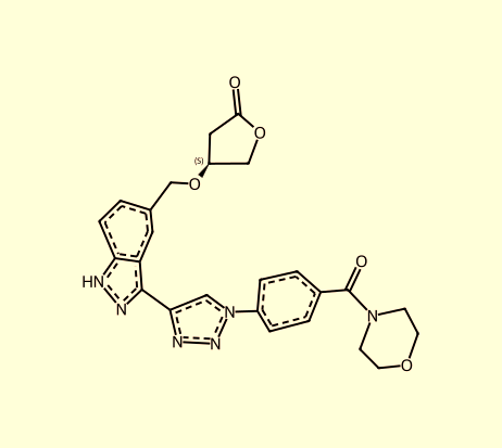 O=C1C[C@H](OCc2ccc3[nH]nc(-c4cn(-c5ccc(C(=O)N6CCOCC6)cc5)nn4)c3c2)CO1